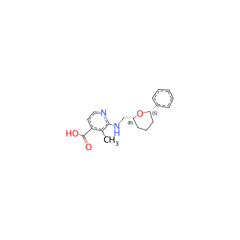 Cc1c(C(=O)O)ccnc1NC[C@H]1CCC[C@@H](c2ccccc2)O1